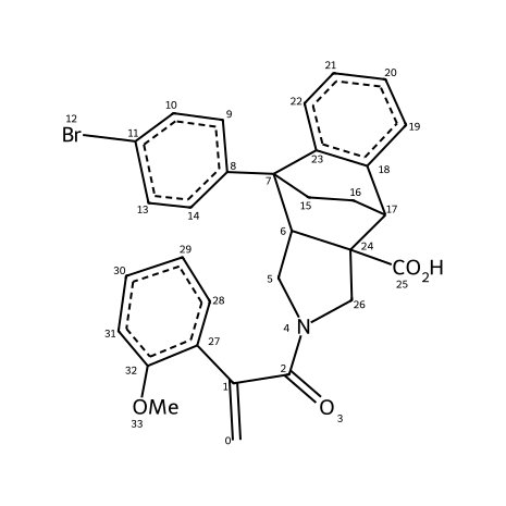 C=C(C(=O)N1CC2C3(c4ccc(Br)cc4)CCC(c4ccccc43)C2(C(=O)O)C1)c1ccccc1OC